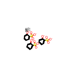 O=S(=O)([O-])c1ccccc1[O-].O=S(=O)([O-])c1ccccc1[O-].O=S(=O)([O-])c1ccccc1[O-].[Al+3].[Al+3]